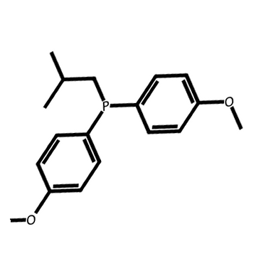 COc1ccc(P(CC(C)C)c2ccc(OC)cc2)cc1